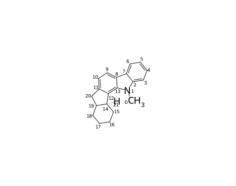 Cn1c2ccccc2c2ccc3c(c21)[C@H]1CCCCC1C3